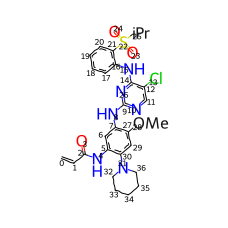 C=CC(=O)Nc1cc(Nc2ncc(Cl)c(Nc3ccccc3S(=O)(=O)C(C)C)n2)c(OC)cc1N1CCCCC1